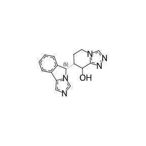 OC1c2nncn2CCC1[C@H]1c2ccccc2-c2cncn21